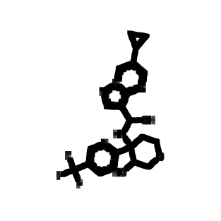 OC(NC1(c2ccc(C(F)(F)F)cn2)CCOCC1O)c1cnn2cc(C3CC3)cnc12